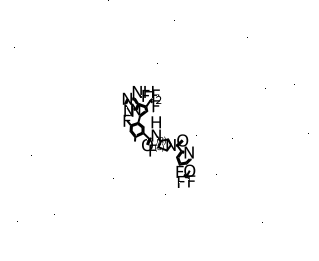 Cc1cc(F)c(-c2cc(C(F)(F)F)c3c(N)ncnn23)cc1C(=O)N[C@@H]1CN(C(=O)c2ccc(OC(F)(F)F)cn2)C[C@@H]1F